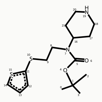 CC(C)(C)OC(=O)N(CCSc1cccs1)C1CCNCC1